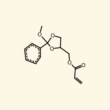 C=CC(=O)OCC1COC(OC)(c2ccccc2)O1